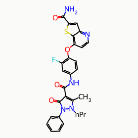 CCCn1c(C)c(C(=O)Nc2ccc(Oc3ccnc4cc(C(N)=O)sc34)c(F)c2)c(=O)n1-c1ccccc1